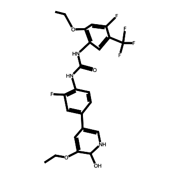 CCOC1=CC(c2ccc(NC(=O)Nc3cc(C(F)(F)F)c(F)cc3OCC)c(F)c2)=CNC1O